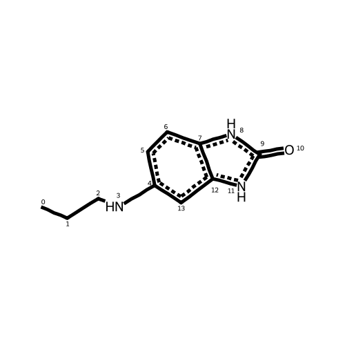 CCCNc1ccc2[nH]c(=O)[nH]c2c1